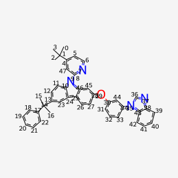 CC(C)(C)c1ccnc(-n2c3ccc(C(C)(C)c4ccccc4)cc3c3ccc(Oc4cccc(-n5cnc6ccccc65)c4)cc32)c1